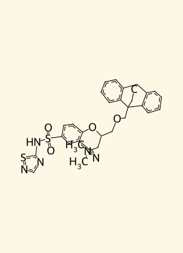 CN(C)CC(COCC12CCC(c3ccccc31)c1ccccc12)Oc1ccc(S(=O)(=O)Nc2ncns2)cc1C#N